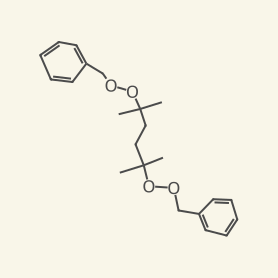 CC(C)(CCC(C)(C)OOCc1ccccc1)OOCc1ccccc1